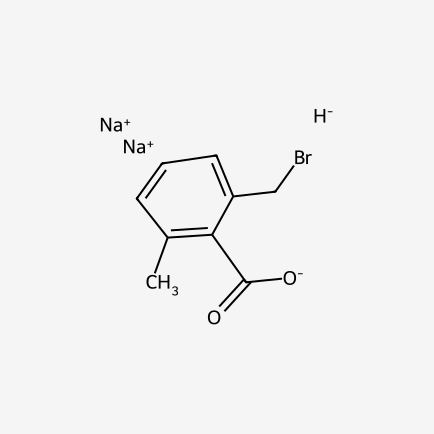 Cc1cccc(CBr)c1C(=O)[O-].[H-].[Na+].[Na+]